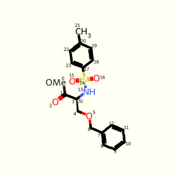 COC(=O)[C@H](COCc1ccccc1)NS(=O)(=O)c1ccc(C)cc1